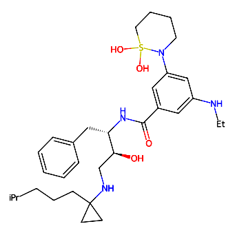 CCNc1cc(C(=O)N[C@@H](Cc2ccccc2)[C@@H](O)CNC2(CCCC(C)C)CC2)cc(N2CCCCS2(O)O)c1